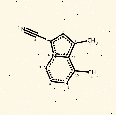 Cc1cc(C#N)n2ncnc(C)c12